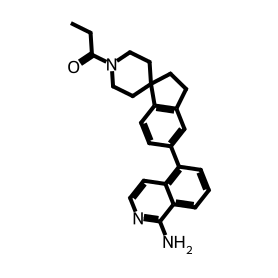 CCC(=O)N1CCC2(CCc3cc(-c4cccc5c(N)nccc45)ccc32)CC1